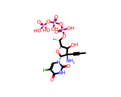 CC#C[C@@]1(N)C(O)[C@@H]([C@H](C)OP(=O)(O)OP(=O)(O)OP(=O)(O)O)O[C@H]1n1cc(F)c(=O)[nH]c1=O